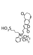 CC1(C)C(/C=C/c2cc3cc4c(cc3oc2=O)C#CCCC(=O)C4)=[N+](CCCCS(=O)(=O)O)c2ccccc21